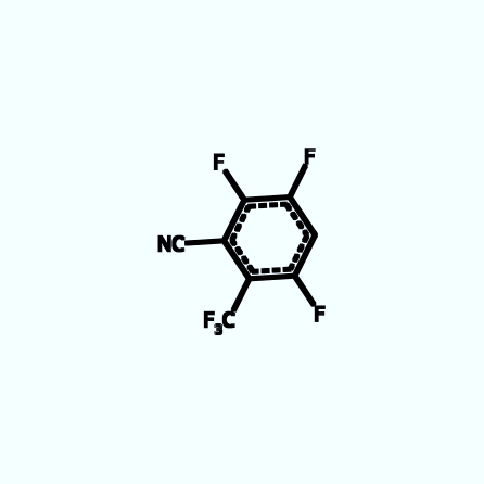 N#Cc1c(F)c(F)cc(F)c1C(F)(F)F